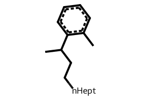 CCCCCCCCCC(C)c1ccccc1C